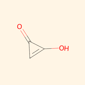 O=c1cc1O